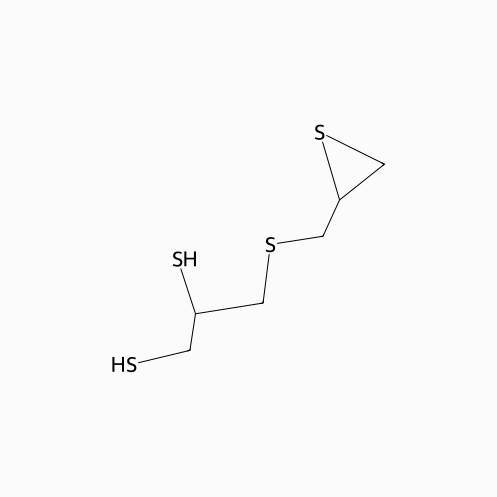 SCC(S)CSCC1CS1